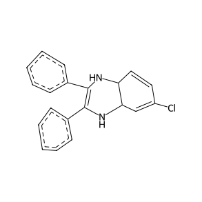 ClC1=CC2NC(c3ccccc3)=C(c3ccccc3)NC2C=C1